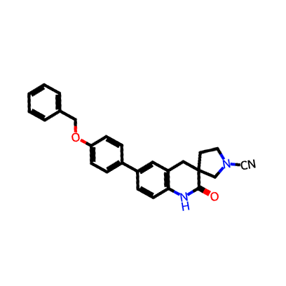 N#CN1CCC2(Cc3cc(-c4ccc(OCc5ccccc5)cc4)ccc3NC2=O)C1